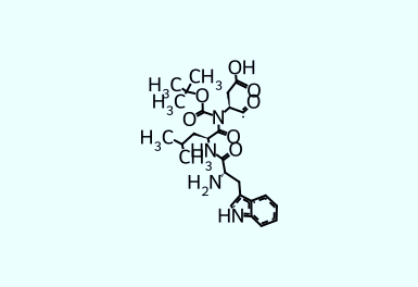 CC(C)C[C@H](NC(=O)[C@@H](N)Cc1c[nH]c2ccccc12)C(=O)N(C(=O)OC(C)(C)C)[C@H]([C]=O)CC(=O)O